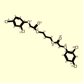 O=C(COc1ccc(Cl)cc1Cl)OCCCOC(=O)COc1ccc(Cl)cc1Cl